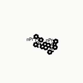 CCCc1cccc2c1oc1c(N(c3ccccc3C)c3ccc4ccc5c(N(c6ccccc6C)c6cccc7c6oc6c(CCC)cccc67)ccc6ccc3c4c65)cccc12